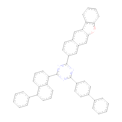 c1ccc(-c2ccc(-c3nc(-c4ccc5cc6c(cc5c4)oc4ccccc46)nc(-c4cccc5c(-c6ccccc6)cccc45)n3)cc2)cc1